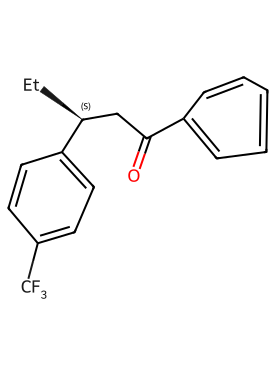 CC[C@@H](CC(=O)c1ccccc1)c1ccc(C(F)(F)F)cc1